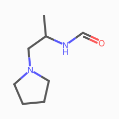 CC(CN1CCCC1)NC=O